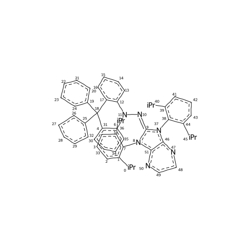 CC(C)c1cccc(C(C)C)c1-n1c(=NN2c3ccccc3C(c3ccccc3)(c3ccccc3)c3ccccc32)n(-c2c(C(C)C)cccc2C(C)C)c2nccnc21